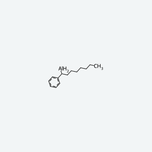 CCCCCCC[CH]([AlH2])c1ccccc1